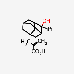 C=C(C)C(=O)O.CC(C)C1(O)C2CC3CC(C2)CC1C3